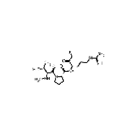 CN[C@H](C(=O)N1CCC[C@H]1C(=O)N[C@@H](CCCNC(=N)N)C(=O)CF)C(C)C